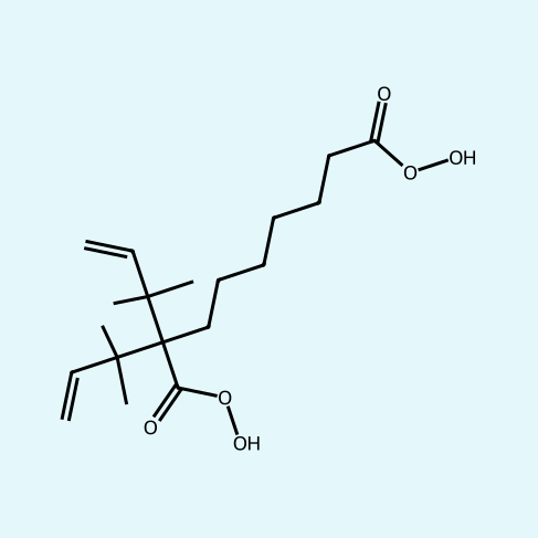 C=CC(C)(C)C(CCCCCCC(=O)OO)(C(=O)OO)C(C)(C)C=C